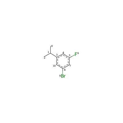 CC(C)c1cc(F)cc(Br)c1